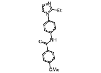 CCc1nccn1-c1ccc(NC(=O)c2ccc(OC)cc2)cc1